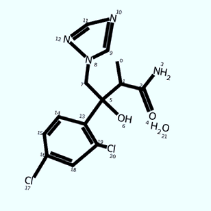 CC(C(N)=O)C(O)(Cn1cncn1)c1ccc(Cl)cc1Cl.O